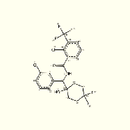 O=C(NC(c1cc(Cl)ccn1)C1(O)CCC(F)(F)CC1)c1ccnc(C(F)(F)F)c1Cl